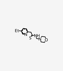 CCc1ccc(CC(=S)NCN2CCOCC2)nc1